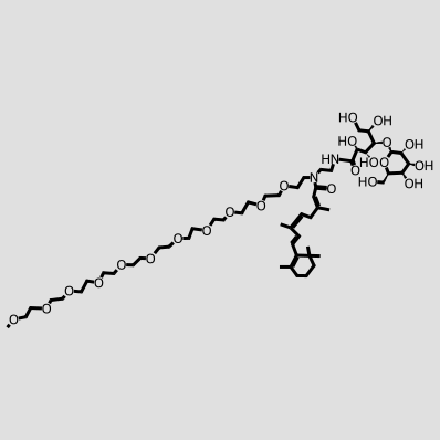 COCCOCCOCCOCCOCCOCCOCCOCCOCCOCCOCCN(CCNC(=O)[C@H](O)[C@@H](O)[C@H](O[C@@H]1O[C@H](CO)[C@H](O)[C@H](O)[C@H]1O)[C@H](O)CO)C(=O)/C=C(\C)C/C=C(C)\C=C\C1=C(C)CCCC1(C)C